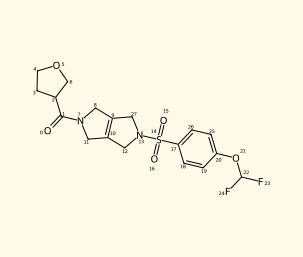 O=C(C1CCOC1)N1CC2=C(C1)CN(S(=O)(=O)c1ccc(OC(F)F)cc1)C2